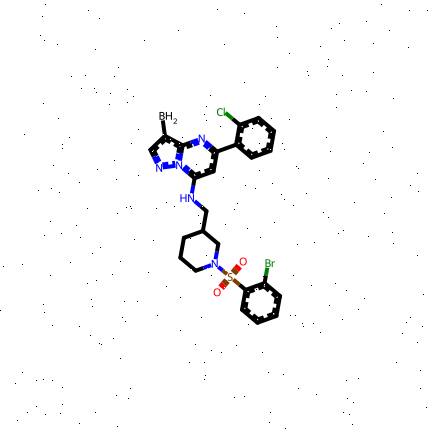 Bc1cnn2c(NCC3CCCN(S(=O)(=O)c4ccccc4Br)C3)cc(-c3ccccc3Cl)nc12